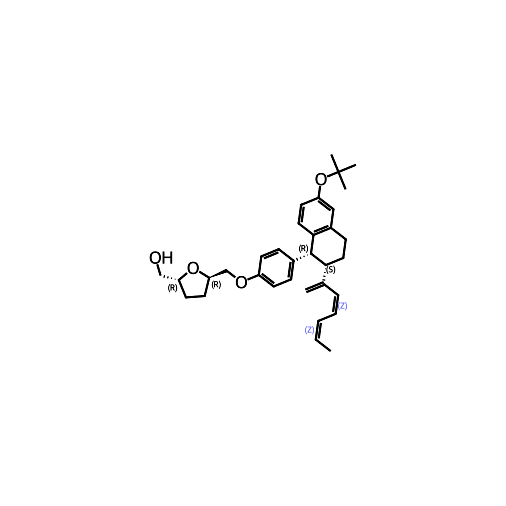 C=C(/C=C\C=C/C)[C@H]1CCc2cc(OC(C)(C)C)ccc2[C@H]1c1ccc(OC[C@H]2CC[C@H](CO)O2)cc1